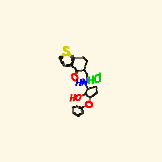 Cl.O=C1c2ccsc2CCC1CNC1CCC(Oc2ccccc2)C1O